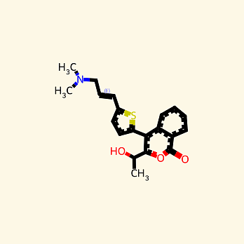 CC(O)c1oc(=O)c2ccccc2c1-c1ccc(/C=C/CN(C)C)s1